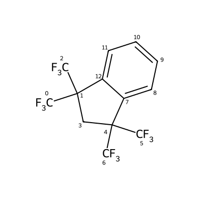 FC(F)(F)C1(C(F)(F)F)CC(C(F)(F)F)(C(F)(F)F)c2ccccc21